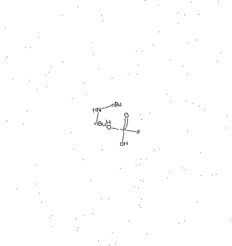 CCCCNCCCC.O=P(O)(O)F